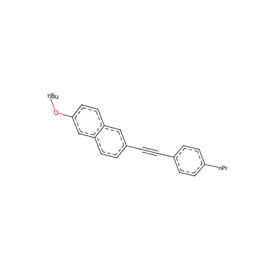 CCCCOc1ccc2cc(C#Cc3ccc(CCC)cc3)ccc2c1